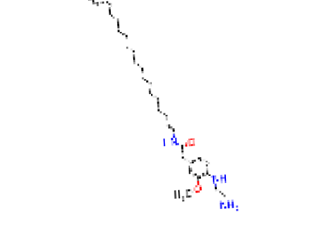 CCCCCCCCCCCCCCCCC=CNC(=O)Cc1ccc(NCCN)c(OC)c1